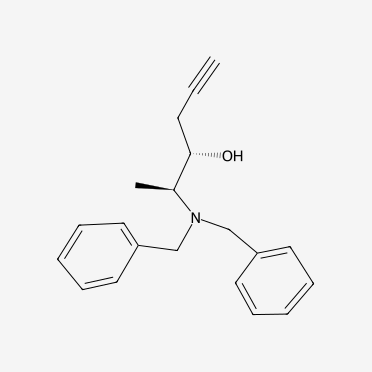 C#CC[C@H](O)[C@H](C)N(Cc1ccccc1)Cc1ccccc1